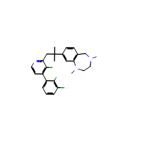 CN1CCN(C(=O)O)Cc2ccc(C(C)(C)Cc3nccc(-c4cccc(Br)c4Cl)c3Cl)cc21